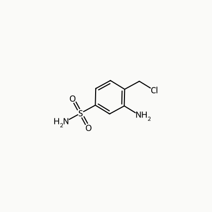 Nc1cc(S(N)(=O)=O)ccc1CCl